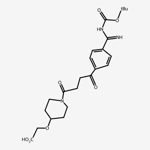 CC(C)(C)OC(=O)NC(=N)c1ccc(C(=O)CCC(=O)N2CCC(OCC(=O)O)CC2)cc1